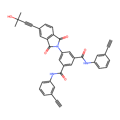 C#Cc1cccc(NC(=O)c2cc(C(=O)Nc3cccc(C#C)c3)cc(N3C(=O)c4ccc(C#CC(C)(C)O)cc4C3=O)c2)c1